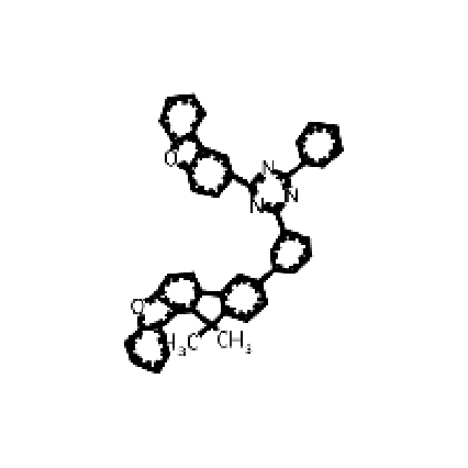 CC1(C)c2ccc(-c3cccc(-c4nc(-c5ccccc5)nc(-c5ccc6oc7ccccc7c6c5)n4)c3)cc2-c2ccc3oc4ccccc4c3c21